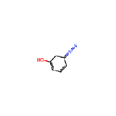 [N-]=[N+]=C1C=CC=C(O)C1